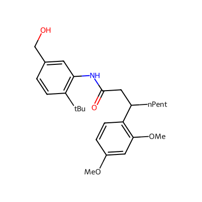 CCCCCC(CC(=O)Nc1cc(CO)ccc1C(C)(C)C)c1ccc(OC)cc1OC